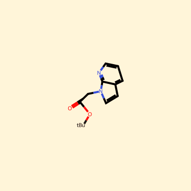 CC(C)(C)OC(=O)Cn1ccc2cccnc21